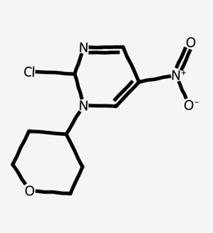 O=[N+]([O-])C1=CN(C2CCOCC2)C(Cl)N=C1